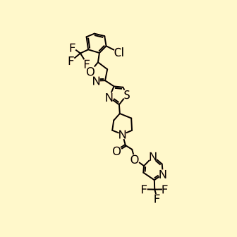 O=C(COc1cc(C(F)(F)F)ncn1)N1CCC(c2nc(C3=NOC(c4c(Cl)cccc4C(F)(F)F)C3)cs2)CC1